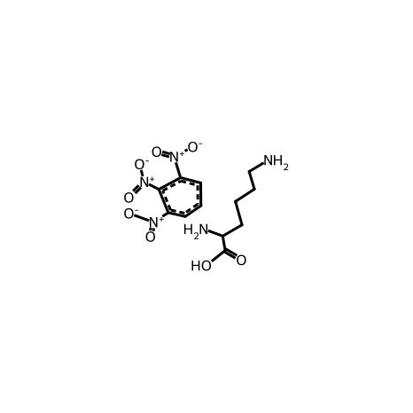 NCCCCC(N)C(=O)O.O=[N+]([O-])c1cccc([N+](=O)[O-])c1[N+](=O)[O-]